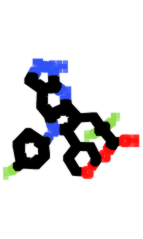 O=C(O)C(F)(F)Cc1c(C2CCOCC2)n(-c2ccc(F)cc2)c2cc3cn[nH]c3nc12